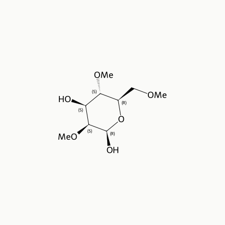 COC[C@H]1O[C@@H](O)[C@@H](OC)[C@@H](O)[C@@H]1OC